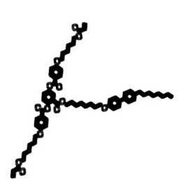 C=CC(=O)OCCCCCCOc1ccc(C(=O)Oc2ccc(OC(=O)c3ccc(OCCCCCCOC(=O)C=C)cc3)c(C(=O)OCCCCCCCCOc3ccc(-c4ccc(CCCCCCCC)cc4)cc3)c2)cc1